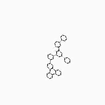 c1ccc(-c2ccc3sc4c(-c5cccc(-c6ccc7c8ccccc8c8ccccc8c7c6)c5)cc(-c5ccccc5)cc4c3c2)cc1